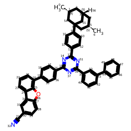 C[C@@H]1C[C@@H]2C[C@H](C)CC(c3ccc(-c4nc(-c5ccc(-c6cccc7c6oc6ccc(C#N)cc67)cc5)nc(-c5cccc(-c6ccccc6)c5)n4)cc3)(C1)C2